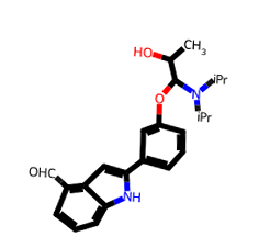 CC(O)C(Oc1cccc(-c2cc3c(C=O)cccc3[nH]2)c1)N(C(C)C)C(C)C